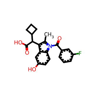 Cc1c(C(C(=O)O)C2CCC2)c2cc(O)ccc2n1C(=O)c1cccc(F)c1